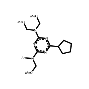 COCN(COC)c1nc(C2CCCC2)nc(N(COC)C(C)=O)n1